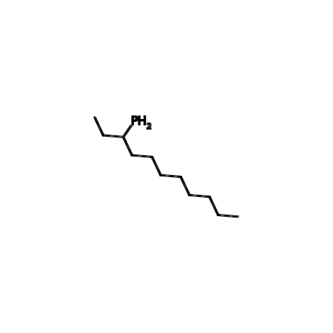 CCCCCCCCC(P)CC